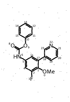 COc1c(F)cc(NC(=O)Oc2ccccc2)cc1-c1cccnc1